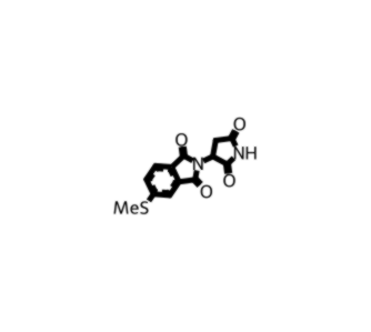 CSc1ccc2c(c1)C(=O)N(C1CC(=O)NC1=O)C2=O